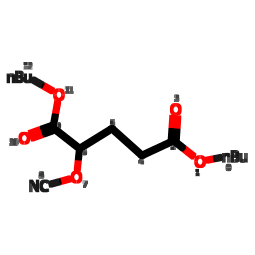 CCCCOC(=O)CCC(OC#N)C(=O)OCCCC